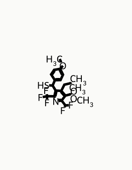 COC(=O)c1c(C(F)F)nc(C(F)(F)F)c(C(S)c2ccc(OC)cc2)c1CC(C)C